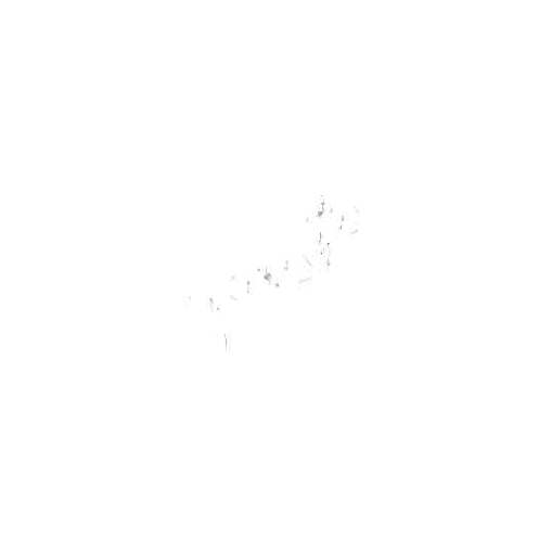 COc1cc(N=Nc2ccc(C)cc2[N+](=O)[O-])c(C)cc1N=Nc1ccc(N(CCO)CCO)cc1